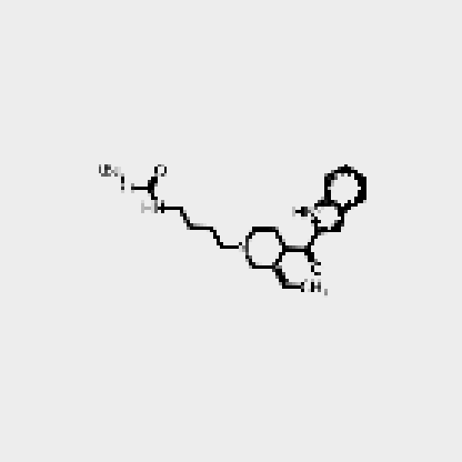 C/C=C1/CN(CCCCNC(=O)OC(C)(C)C)CCC1C(=O)c1cc2ccccc2[nH]1